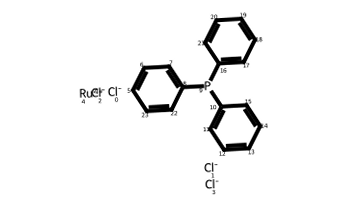 [Cl-].[Cl-].[Cl-].[Cl-].[Ru+4].c1ccc(P(c2ccccc2)c2ccccc2)cc1